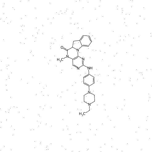 CCN1CCN(c2ccc(Nc3ncc4c(n3)N3c5ccccc5CC3C(=O)N4C)cc2)CC1